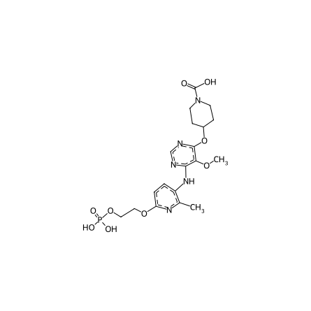 COc1c(Nc2ccc(OCCOP(=O)(O)O)nc2C)ncnc1OC1CCN(C(=O)O)CC1